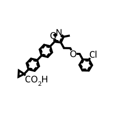 Cc1noc(-c2ccc(-c3ccc(C4(C(=O)O)CC4)cc3)cc2)c1CCOCc1ccccc1Cl